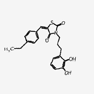 CCc1ccc(C=C2SC(=O)N(CCCc3cccc(O)c3O)C2=O)cc1